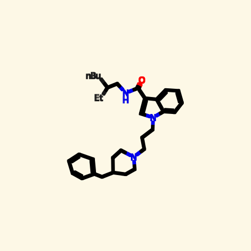 CCCCC(CC)CNC(=O)c1cn(CCCN2CCC(Cc3ccccc3)CC2)c2ccccc12